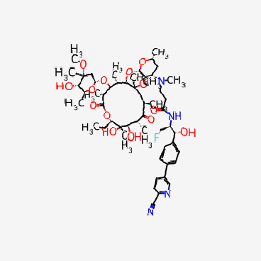 CC[C@H]1OC(=O)[C@H](C)[C@@H](O[C@H]2C[C@@](C)(OC)[C@@H](O)[C@H](C)O2)[C@H](C)[C@@H](O[C@H]2C[C@@H](N(C)CCC(=O)N[C@H](CF)[C@H](O)c3ccc(-c4ccc(C#N)nc4)cc3)C[C@@H](C)O2)[C@](C)(OC)C[C@@H](C)C(=O)[C@H](C)[C@@H](O)[C@]1(C)O